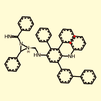 N=C(c1ccccc1)N1C(c2ccccc2)[N@]1CNc1cc(-c2cccc(-c3ccccc3)c2)c(Nc2ccccc2)c(-c2ccccc2)c1-c1ccccc1